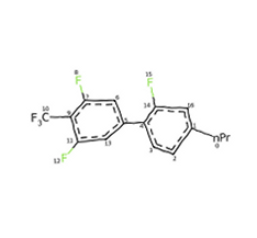 CCCc1ccc(-c2cc(F)c(C(F)(F)F)c(F)c2)c(F)c1